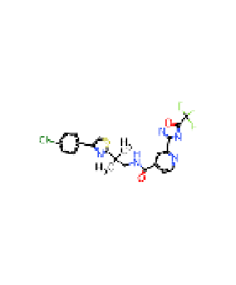 CC(C)(CNC(=O)c1ccnc(-c2noc(C(F)(F)F)n2)c1)c1nc(-c2ccc(Cl)cc2)cs1